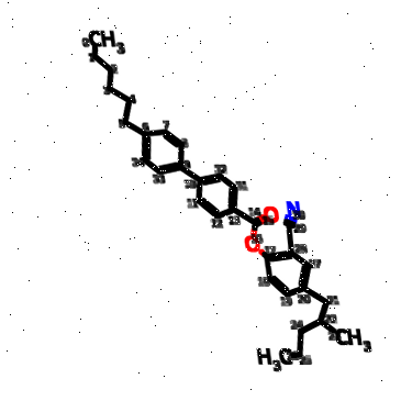 CCCCCCc1ccc(-c2ccc(C(=O)Oc3ccc(CC(C)CCC)cc3C#N)cc2)cc1